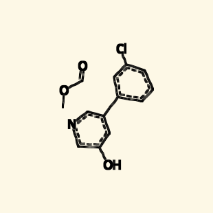 COC=O.Oc1cncc(-c2cccc(Cl)c2)c1